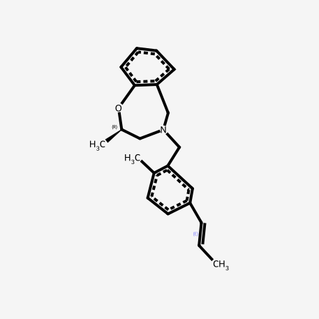 C/C=C/c1ccc(C)c(CN2Cc3ccccc3O[C@H](C)C2)c1